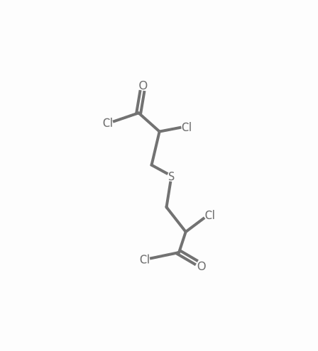 O=C(Cl)C(Cl)CSCC(Cl)C(=O)Cl